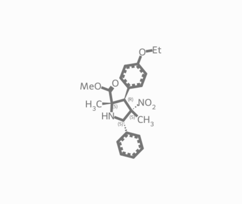 CCOc1ccc([C@H]2[C@](C)([N+](=O)[O-])[C@H](c3ccccc3)N[C@]2(C)C(=O)OC)cc1